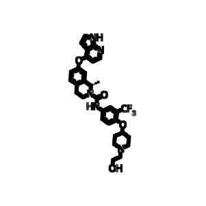 C[C@H]1c2cc(Oc3ccnc4[nH]ccc34)ccc2CCN1C(=O)Nc1ccc(OC2CCN(CCO)CC2)c(C(F)(F)F)c1